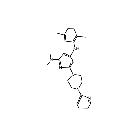 Cc1ccc(C)c(Nc2cc(N(C)C)nc(N3CCN(c4ccccn4)CC3)n2)c1